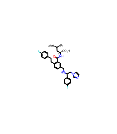 CSC(C[C@H](NC(=O)c1cc(CNC(Cn2ccnc2)c2ccc(F)cc2)ccc1CCc1ccc(F)cc1)C(=O)O)C(C)C